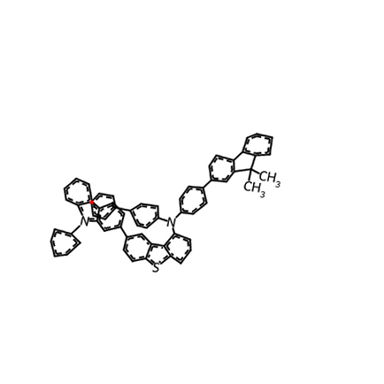 CC1(C)c2ccccc2-c2ccc(-c3ccc(N(c4ccc(-c5ccccc5)cc4)c4cccc5sc6ccc(-c7ccc8c9ccccc9n(-c9ccccc9)c8c7)cc6c45)cc3)cc21